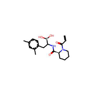 C=CC(=O)N1CCCC[C@H]1C(=O)NC(Cc1ccc(C)cc1C)B(O)O